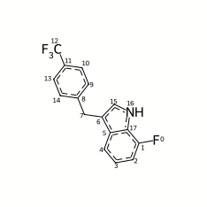 Fc1cccc2c(Cc3ccc(C(F)(F)F)cc3)c[nH]c12